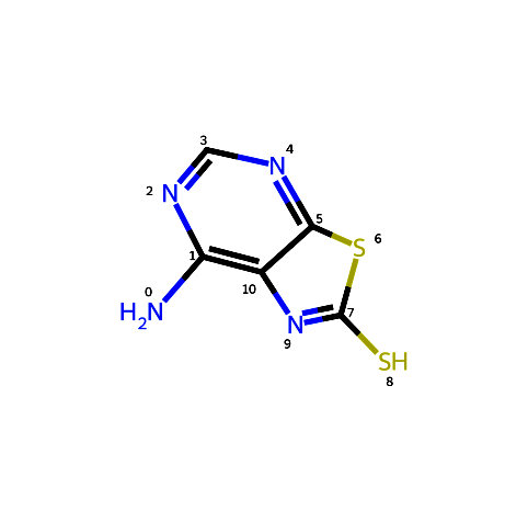 Nc1ncnc2sc(S)nc12